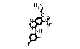 NCCOc1cc2ncnc(Nc3ccc(F)cc3F)c2cc1[N+](=O)[O-]